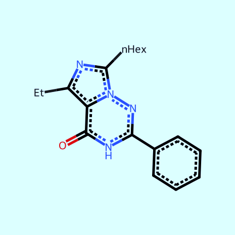 CCCCCCc1nc(CC)c2c(=O)[nH]c(-c3ccccc3)nn12